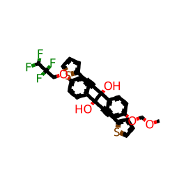 COCOc1ccc(C(O)(C#Cc2cccs2)C(O)(C#Cc2cccs2)c2ccc(OCC(F)(F)C(F)F)cc2)cc1